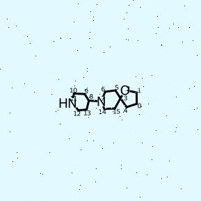 C1COC2(C1)CCN(C1CCNCC1)CC2